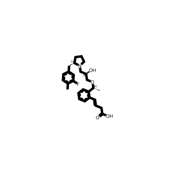 Cc1ccc(C[C@@H]2CCCN2C[C@@H](O)CO[C@H](C)c2ccccc2C=CCC(=O)O)cc1F